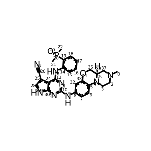 CN1CCN2c3ccc(Nc4nc(Nc5ccccc5P(C)(C)=O)c5c(C#N)c[nH]c5n4)cc3OC[C@@H]2C1